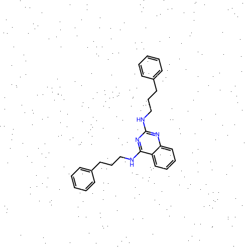 c1ccc(CCCNc2nc(NCCCc3ccccc3)c3ccccc3n2)cc1